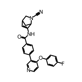 N#CN1CC2C=C(NC(=O)c3ccc(-c4cnccc4Oc4ccc(F)cc4)cc3)C1C2